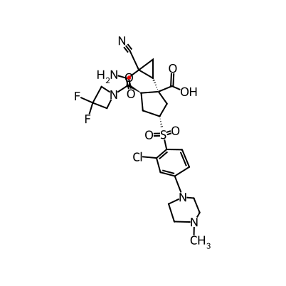 CN1CCN(c2ccc(S(=O)(=O)[C@@H]3C[C@@H](C(=O)N4CC(F)(F)C4)[C@](C(=O)O)(C4CC4(C#N)C(N)=O)C3)c(Cl)c2)CC1